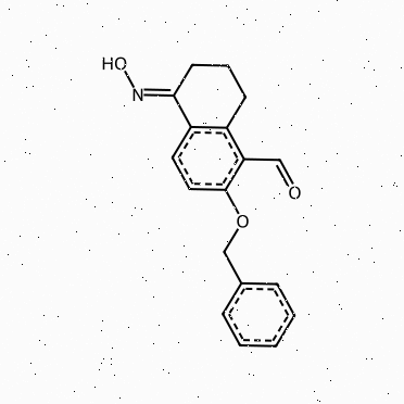 O=Cc1c(OCc2ccccc2)ccc2c1CCC/C2=N\O